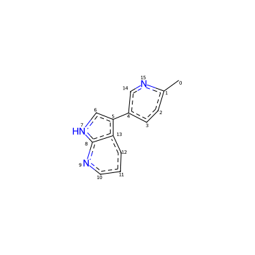 Cc1ccc(-c2c[nH]c3ncccc23)cn1